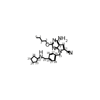 CCCCOc1nc(N)c2cc(C#N)n(Cc3ccc(CNC4CCCC4)cc3)c2n1